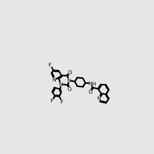 O=C(NC1CCC(n2c(=O)c3cc(F)cnc3n(-c3ccc(F)c(F)c3)c2=O)CC1)c1cccc2cccnc12